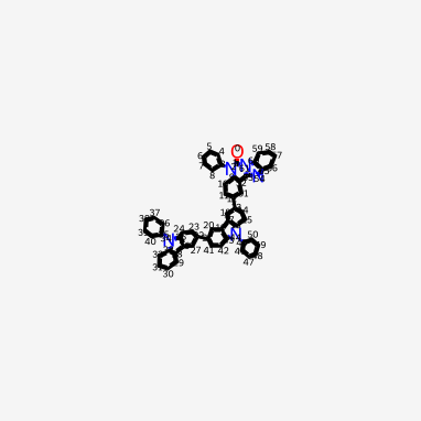 O=c1n(-c2ccccc2)c2ccc(-c3ccc4c(c3)c3cc(-c5ccc6c(c5)c5ccccc5n6-c5ccccc5)ccc3n4-c3ccccc3)cc2c2nc3ccccc3n12